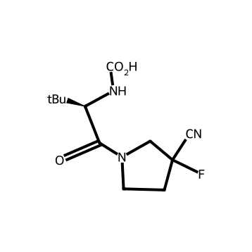 CC(C)(C)[C@@H](NC(=O)O)C(=O)N1CCC(F)(C#N)C1